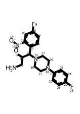 CC(CN)C(c1ccc(F)cc1[N+](=O)[O-])N1CCN(c2ccc(F)cc2)CC1